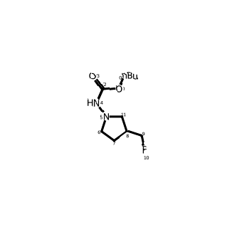 CCCCOC(=O)NN1CCC(CF)C1